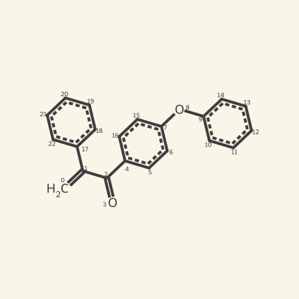 C=C(C(=O)c1ccc(Oc2ccccc2)cc1)c1ccccc1